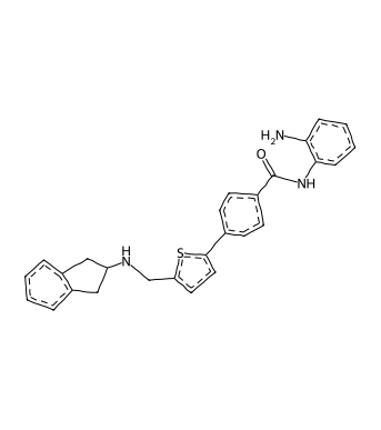 Nc1ccccc1NC(=O)c1ccc(-c2ccc(CNC3Cc4ccccc4C3)s2)cc1